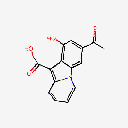 CC(=O)c1cc(O)c2c(C(=O)O)c3ccccn3c2c1